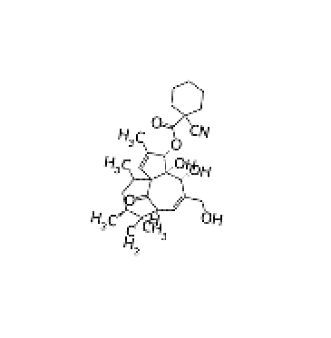 CC1=CC23C(=O)[C@@H](C=C(CO)[C@@H](O)[C@]2(O)[C@H]1OC(=O)C1(C#N)CCCCC1)C(C)(C)[C@@H](C)CC3C